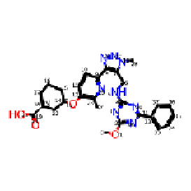 COc1nc(NCc2c(-c3ccc(O[C@H]4CCC[C@H](C(=O)O)C4)c(C)n3)nnn2C)nc(-c2ccccc2)n1